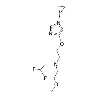 COCCN(CCOc1cn(C2CC2)cn1)CC(F)F